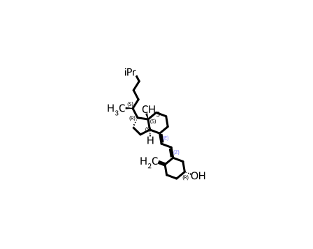 C=C1CC[C@@H](O)C/C1=C/C=C1\CCC[C@]2(C)[C@@H]1CC[C@@H]2[C@@H](C)CCCC(C)C